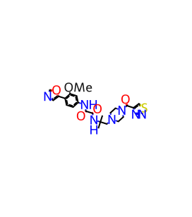 COc1cc(NC(=O)C(=O)NC(C)(C)CN2CCN(C(=O)c3csnn3)CC2)ccc1-c1cnco1